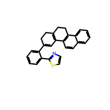 C1=C(c2ccccc2-c2nccs2)CCC2=C1c1ccc3ccccc3c1CC2